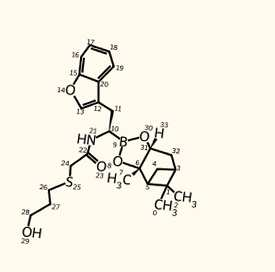 CC1(C)C2CC1[C@]1(C)OB([C@H](Cc3coc4ccccc34)NC(=O)CSCCCO)O[C@@H]1C2